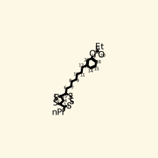 CCCC1SSSC(CCCCCCCc2cccc(OC(=O)CC)c2)C2CC1SS2